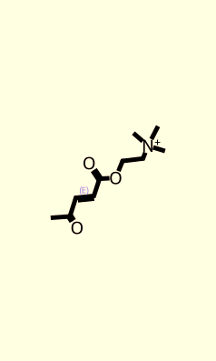 CC(=O)/C=C/C(=O)OCC[N+](C)(C)C